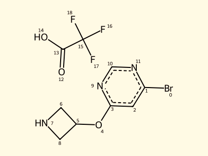 Brc1cc(OC2CNC2)ncn1.O=C(O)C(F)(F)F